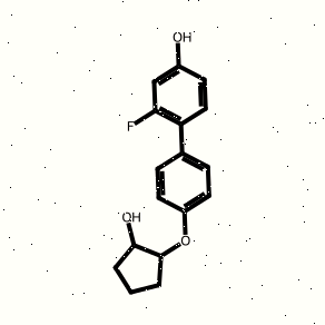 Oc1ccc(-c2ccc(OC3CCCC3O)cc2)c(F)c1